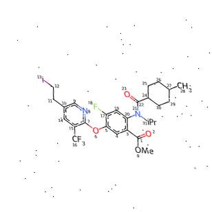 COC(=O)c1cc(Oc2ncc(CCI)cc2C(F)(F)F)c(F)cc1N(C(=O)C1CCC(C)CC1)C(C)C